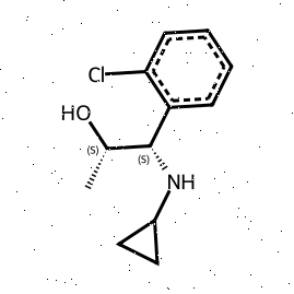 C[C@H](O)[C@@H](NC1CC1)c1ccccc1Cl